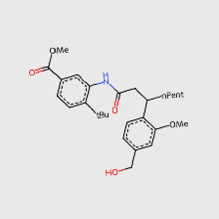 CCCCCC(CC(=O)Nc1cc(C(=O)OC)ccc1C(C)(C)C)c1ccc(CO)cc1OC